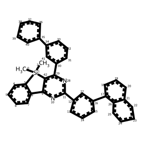 C[Si]1(C)c2ccccc2-c2nc(-c3cccc(-c4cccc5ccccc45)c3)nc(-c3cccc(-c4ccccc4)c3)c21